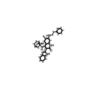 O=c1[nH]c2cc(NCCc3ccccn3)c(F)cc2c(N[C@@H]2CN3CCC2CC3)c1-c1nc2ccccc2[nH]1